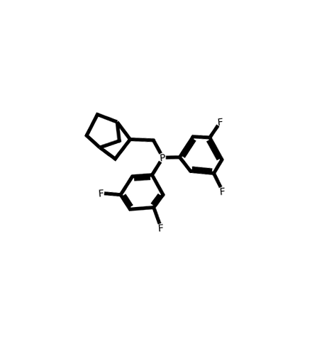 Fc1cc(F)cc(P(CC2CC3CCC2C3)c2cc(F)cc(F)c2)c1